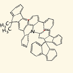 CC1(C)c2ccccc2-c2ccc(-c3ccccc3N(c3ccc4c(c3)C3(c5ccccc5-c5ccccc53)c3ccccc3-4)c3ccccc3-c3ccccc3)cc21